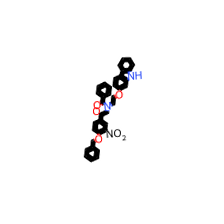 O=C(CN(CCOc1ccc2c3c([nH]c2c1)CCCC3)C(=O)c1ccccc1)c1ccc(OCc2ccccc2)c([N+](=O)[O-])c1